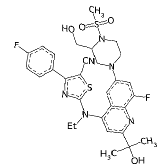 CCN(c1nc(-c2ccc(F)cc2)c(C#N)s1)c1cc(C(C)(C)O)nc2c(F)cc(N3CCN(S(C)(=O)=O)C(CO)C3)cc12